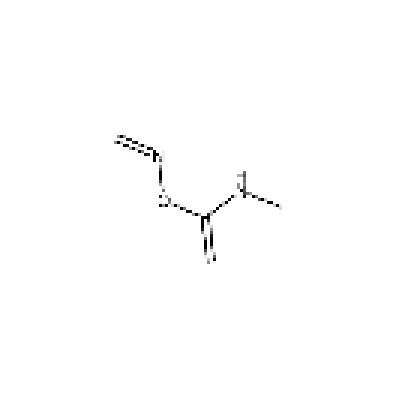 C=NOC(=C)NC